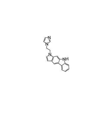 c1ccc2c(c1)[nH]c1cc3c(ccn3CCn3ccnc3)cc12